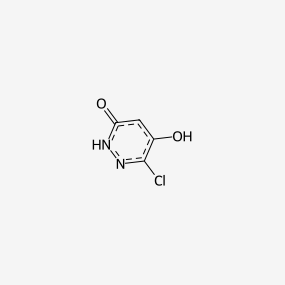 O=c1cc(O)c(Cl)n[nH]1